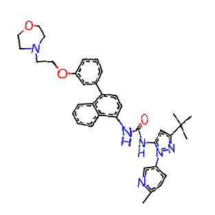 Cc1ccc(-n2nc(C(C)(C)C)cc2NC(=O)Nc2ccc(-c3cccc(OCCN4CCOCC4)c3)c3ccccc23)cn1